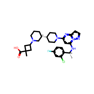 C[C@@H](Nc1cc(N2CCC([C@H]3CCCN(C4CC(C)(C(=O)O)C4)C3)CC2)nc2ccnn12)c1ccc(F)cc1Cl